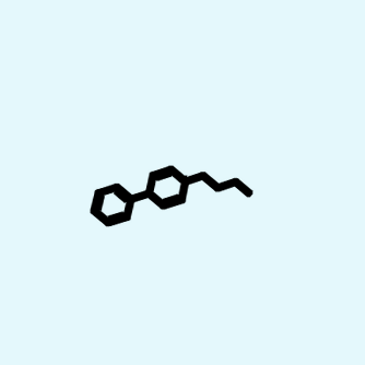 CCCC[C]1C=CC(c2ccccc2)C=C1